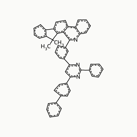 CC1(C)c2ccccc2-c2ccc3c(c(-c4cccc(-c5cc(-c6ccc(-c7ccccc7)cc6)nc(-c6ccccc6)n5)c4)nc4ccccc43)c21